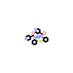 O=C(Nc1ccccc1SSc1ccccc1NC(=O)c1ccncc1)c1ccncc1